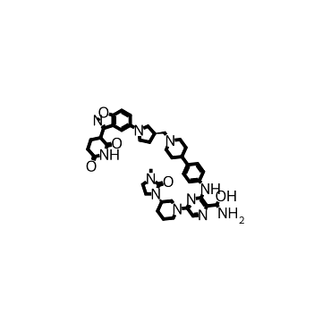 CN1CCN([C@@H]2CCCN(c3cnc(C(N)O)c(Nc4ccc(C5CCN(C[C@H]6CCN(c7ccc8onc(C9CCC(=O)NC9=O)c8c7)C6)CC5)cc4)n3)C2)C1=O